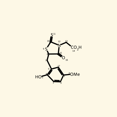 COc1ccc(O)c(CC2SC(=S)N(CC(=O)O)C2=O)c1